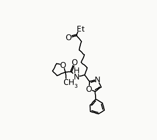 CCC(=O)CCCCCC(NC(=O)C1(C)CCCO1)c1ncc(-c2ccccc2)o1